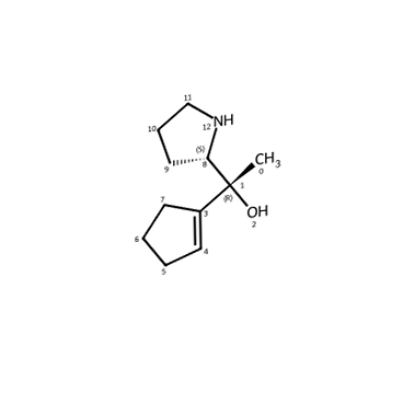 C[C@@](O)(C1=CCCC1)[C@@H]1CCCN1